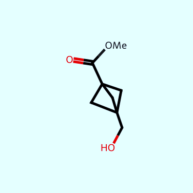 COC(=O)C12CC(CO)(C1)C2